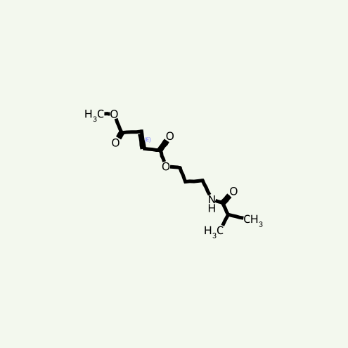 COC(=O)/C=C/C(=O)OCCCNC(=O)C(C)C